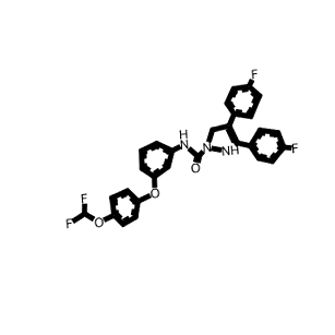 O=C(Nc1cccc(Oc2ccc(OC(F)F)cc2)c1)N1CC(c2ccc(F)cc2)=C(c2ccc(F)cc2)N1